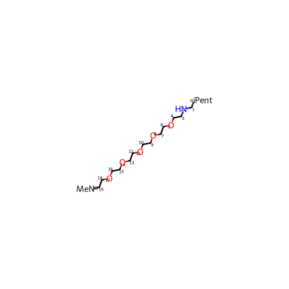 CCCC(C)CNCCOCCOCCOCCOCCOCCNC